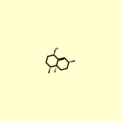 CC(C)[C@@H]1CC[C@H](C)[C@@H]2CC[C@H](C)C=C12